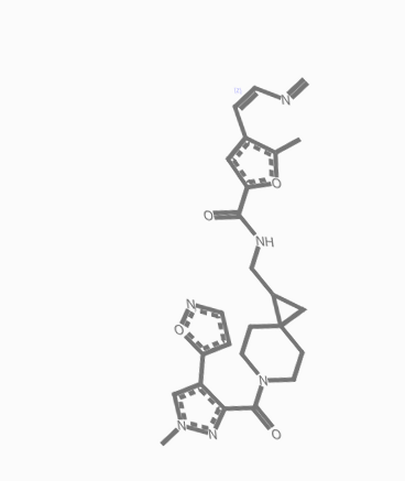 C=N/C=C\c1cc(C(=O)NCC2CC23CCN(C(=O)c2nn(C)cc2-c2ccno2)CC3)oc1C